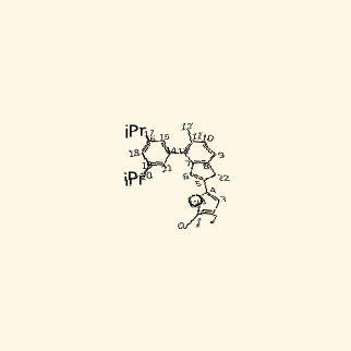 Cc1ccc(C2=Cc3c(ccc(C)c3-c3cc(C(C)C)cc(C(C)C)c3)C2)o1